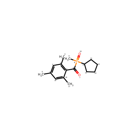 Cc1cc(C)c(C(=O)P(C)(=O)C2CCCC2)c(C)c1